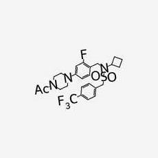 CC(=O)N1CCN(c2ccc(CN(C3CCC3)S(=O)(=O)Cc3ccc(C(F)(F)F)cc3)c(F)c2)CC1